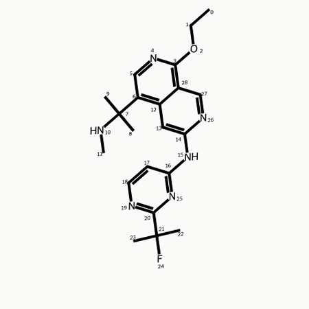 CCOc1ncc(C(C)(C)NC)c2cc(Nc3ccnc(C(C)(C)F)n3)ncc12